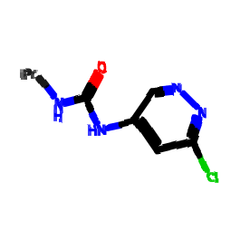 CC(C)NC(=O)Nc1cnnc(Cl)c1